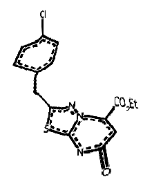 CCOC(=O)c1cc(=O)nc2sc(Cc3ccc(Cl)cc3)nn12